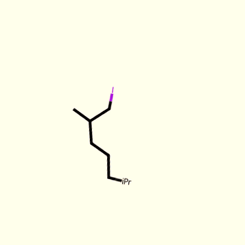 CC(C)CCCC(C)CI